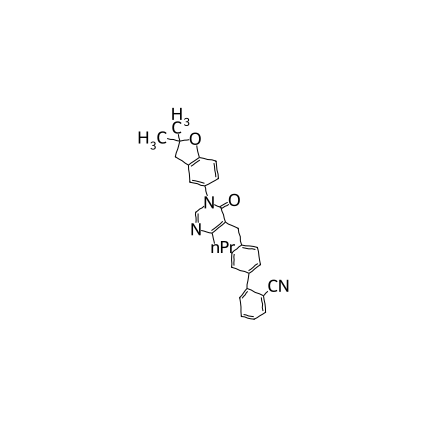 CCCc1ncn(-c2ccc3c(c2)CC(C)(C)O3)c(=O)c1Cc1ccc(-c2ccccc2C#N)cc1